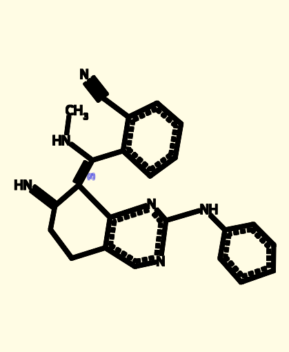 CN/C(=C1\C(=N)CCc2cnc(Nc3ccccc3)nc21)c1ccccc1C#N